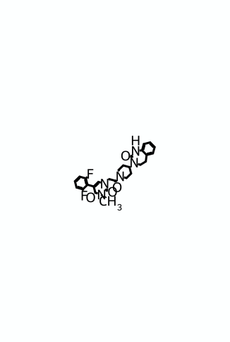 Cn1c(=O)c(-c2c(F)cccc2F)cn(CC(=O)N2CCC(N3CCc4ccccc4NC3=O)CC2)c1=O